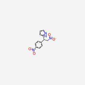 O=[N+]([O-])CC(c1ccc([N+](=O)[O-])cc1)c1ccc[nH]1